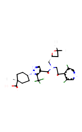 CC1(C)C[C@@H](CN(CC(=O)c2c(Cl)cncc2Cl)C(=O)c2cnn([C@H]3CC[C@](C)(C(=O)O)CC3)c2C(F)(F)F)O1